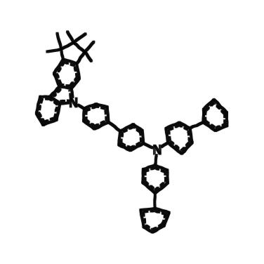 CC1(C)c2cc3c4ccccc4n(-c4ccc(-c5ccc(N(c6ccc(-c7ccccc7)cc6)c6ccc(-c7ccccc7)cc6)cc5)cc4)c3cc2C(C)(C)C1(C)C